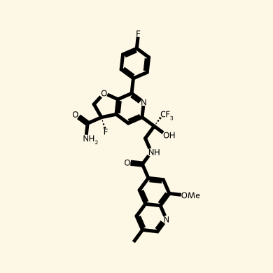 COc1cc(C(=O)NC[C@](O)(c2cc3c(c(-c4ccc(F)cc4)n2)OC[C@]3(F)C(N)=O)C(F)(F)F)cc2cc(C)cnc12